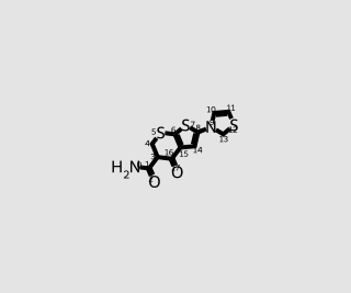 NC(=O)C1CSc2sc(N3C=CSC3)cc2C1=O